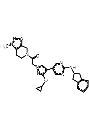 Cn1nnc2c1CCN(C(=O)Cn1cc(-c3cnc(NC4Cc5ccccc5C4)nc3)c(OC3CC3)n1)C2